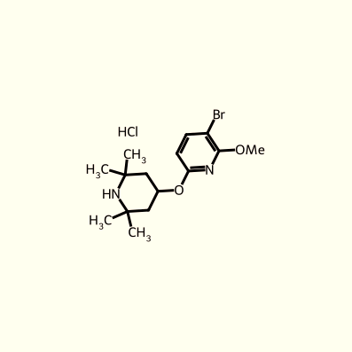 COc1nc(OC2CC(C)(C)NC(C)(C)C2)ccc1Br.Cl